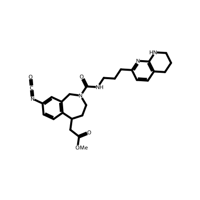 COC(=O)CC1CCN(C(=O)NCCCc2ccc3c(n2)NCCC3)Cc2cc(N=C=O)ccc21